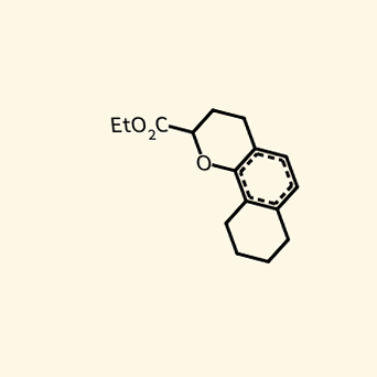 CCOC(=O)C1CCc2ccc3c(c2O1)CCCC3